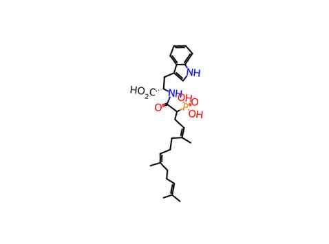 CC(C)=CCCC(C)=CCCC(C)=CCC(C(=O)N[C@@H](Cc1c[nH]c2ccccc12)C(=O)O)P(=O)(O)O